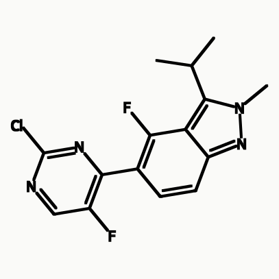 CC(C)c1c2c(F)c(-c3nc(Cl)ncc3F)ccc2nn1C